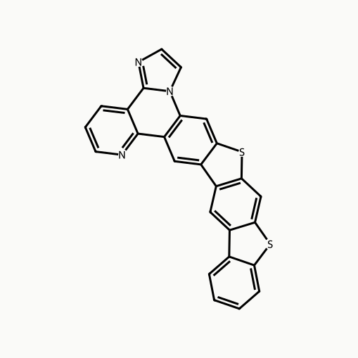 c1ccc2c(c1)sc1cc3sc4cc5c(cc4c3cc12)c1ncccc1c1nccn51